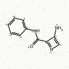 NC1=CN=C1C(=O)Nc1ccccc1